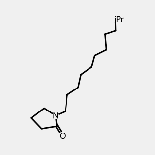 CC(C)CCCCCCCCCN1CCCC1=O